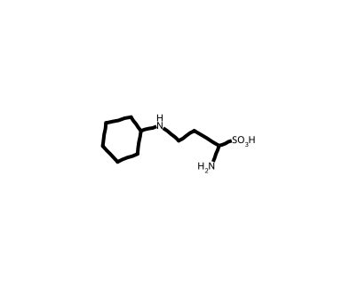 NC(CCNC1CCCCC1)S(=O)(=O)O